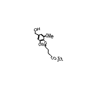 CCOC(=O)CCCCOc1c(OC)cc(CO)cc1OC